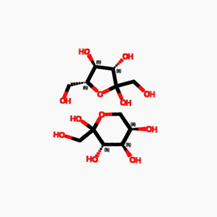 OCC1(O)OC[C@@H](O)[C@@H](O)[C@@H]1O.OC[C@H]1OC(O)(CO)[C@@H](O)[C@@H]1O